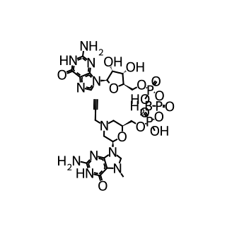 BP(=O)(OP(=O)(O)OC[C@@H]1CN(CC#C)C[C@H](N2CN(C)c3c2nc(N)[nH]c3=O)O1)OP(=O)(O)OC[C@H]1O[C@@H](n2cnc3c(=O)[nH]c(N)nc32)[C@H](O)[C@@H]1O